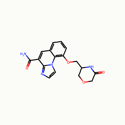 NC(=O)c1cc2cccc(OCC3COCC(=O)N3)c2n2ccnc12